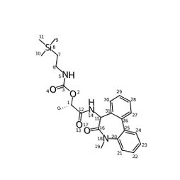 C[C@H](OC(=O)NCC[Si](C)(C)C)C(=O)NC1C(=O)N(C)c2ccccc2-c2ccccc21